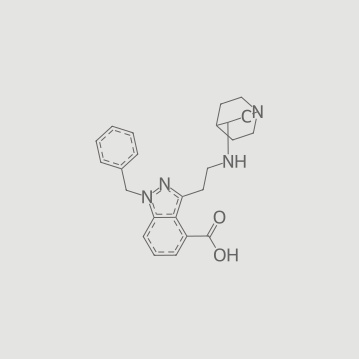 O=C(O)c1cccc2c1c(CCNC1CN3CCC1CC3)nn2Cc1ccccc1